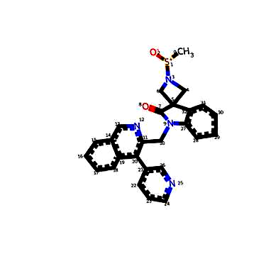 C[S+]([O-])N1CC2(C1)C(=O)N(Cc1ncc3ccccc3c1-c1cccnc1)c1ccccc12